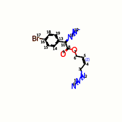 [N-]=[N+]=NC/C=C\COC(=O)C(=[N+]=[N-])c1ccc(Br)cc1